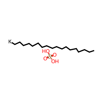 CCCCCCCCCCCCCCCCC[CH2][K].O=S(=O)(O)O